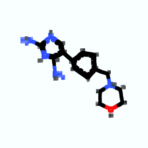 Nc1ncc(-c2ccc(CN3CCOCC3)cc2)c(N)n1